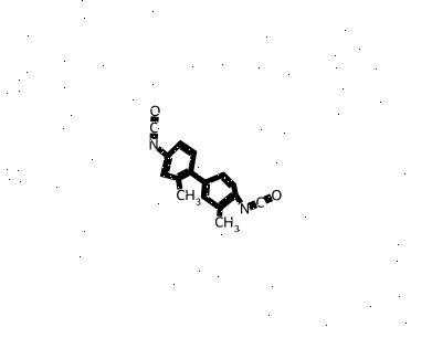 Cc1cc(-c2ccc(N=C=O)cc2C)ccc1N=C=O